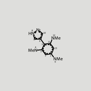 CNc1cc(NC)c(-c2[c][nH]nc2)c(NC)c1